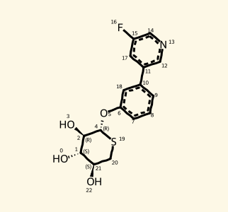 O[C@@H]1[C@@H](O)[C@H](Oc2cccc(-c3cncc(F)c3)c2)SC[C@H]1O